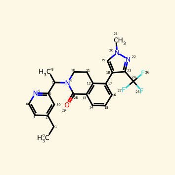 CCc1ccnc(C(C)N2CCc3c(cccc3-c3cn(C)nc3C(F)(F)F)C2=O)c1